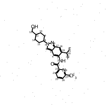 O=C(Nc1cc2cn(C3CCC(CO)CC3)nc2cc1C(F)F)c1cccc(C(F)(F)F)n1